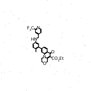 CCOC(=O)c1c2n(c3cc(-c4cc(NCc5ccnc(C(F)(F)F)c5)ccc4C)ccc3c1=O)CCOC2